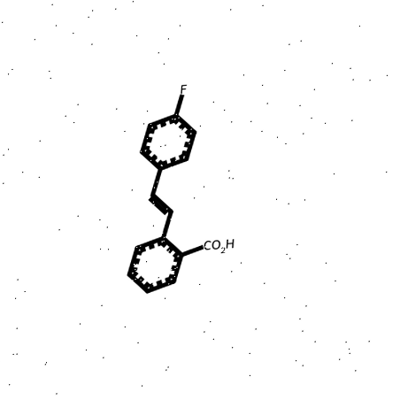 O=C(O)c1ccccc1C=Cc1ccc(F)cc1